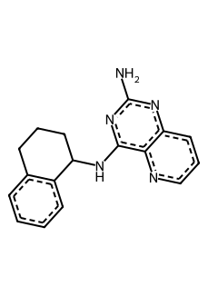 Nc1nc(NC2CCCc3ccccc32)c2ncccc2n1